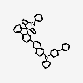 c1ccc(-c2ccc(N(c3ccccc3)c3ccc4cc(-c5ccc6c(c5)C5(c7ccccc7-6)c6ccccc6N(c6ccccc6)c6ccccc65)ccc4c3)cc2)cc1